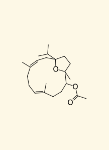 CC(=O)OC1CC/C(C)=C/CC/C(C)=C\CC2(C(C)C)CCC1(C)O2